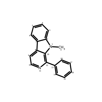 Cn1c2ccccc2c2ccnc(-c3ccccc3)c21